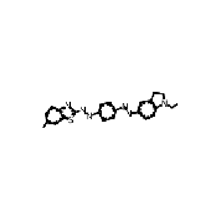 CCN1CCc2cc(N=Nc3ccc(N=Nc4nc5ccc(C)cc5s4)cc3)ccc21